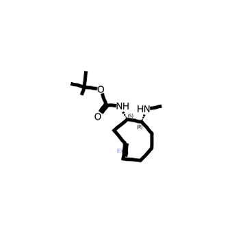 CN[C@@H]1CCC/C=C/C[C@@H]1NC(=O)OC(C)(C)C